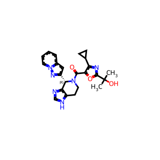 CC(C)(O)c1nc(C2CC2)c(C(=O)N2CCc3[nH]cnc3[C@@H]2c2cc3ccccn3n2)o1